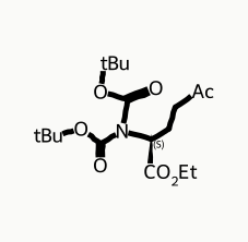 CCOC(=O)[C@H](CCC(C)=O)N(C(=O)OC(C)(C)C)C(=O)OC(C)(C)C